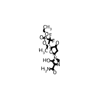 CCOP(=O)(OCC)C(F)(F)C[C@H]1O[C@@H](n2cnc(C(N)=O)c2O)CC1=O